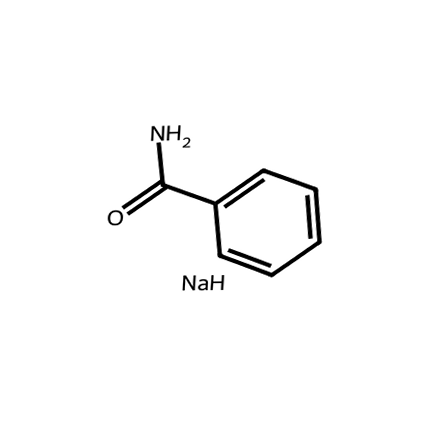 NC(=O)c1ccccc1.[NaH]